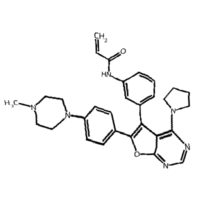 C=CC(=O)Nc1cccc(-c2c(-c3ccc(N4CCN(C)CC4)cc3)oc3ncnc(N4CCCC4)c23)c1